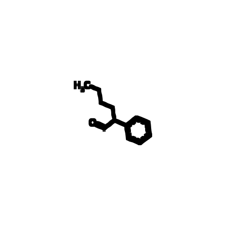 CCCCC([C]=O)c1ccccc1